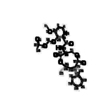 COc1ccnc(C(=O)N[C@H]2COC(=O)[C@H](Cc3ccccc3)[CH][C@H](C)OC2=O)c1OCOC(C)=O